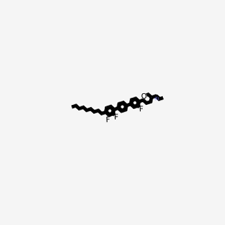 C/C=C/C1CCC(c2ccc(-c3ccc(-c4ccc(CCCCCCCCC)c(F)c4F)cc3)cc2F)OC1